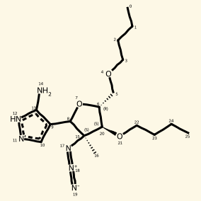 CCCCOC[C@H]1OC(c2cn[nH]c2N)[C@](C)(N=[N+]=[N-])[C@@H]1OCCCC